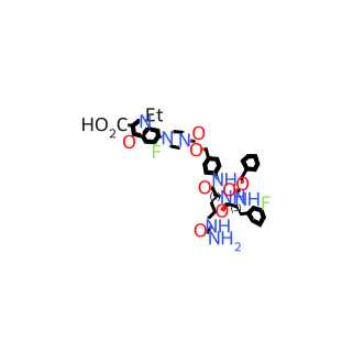 CCn1cc(C(=O)O)c(=O)c2cc(F)c(N3CCN(C(=O)OCc4ccc(NC(=O)[C@H](CCCNC(N)=O)NC(=O)[C@H](Cc5cccc(F)c5)NC(=O)OCc5ccccc5)cc4)CC3)cc21